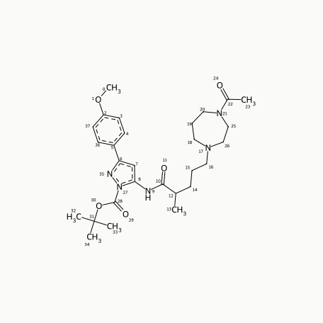 COc1ccc(-c2cc(NC(=O)C(C)CCCN3CCCN(C(C)=O)CC3)n(C(=O)OC(C)(C)C)n2)cc1